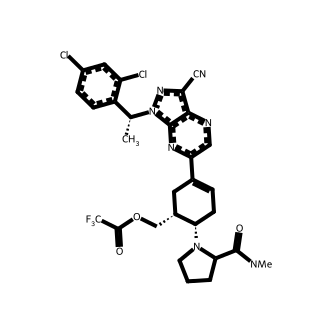 CNC(=O)C1CCCN1[C@H]1CC=C(c2cnc3c(C#N)nn([C@H](C)c4ccc(Cl)cc4Cl)c3n2)C[C@H]1COC(=O)C(F)(F)F